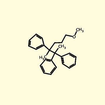 COCCCC(C)(c1ccccc1)C(C)(c1ccccc1)c1ccccc1